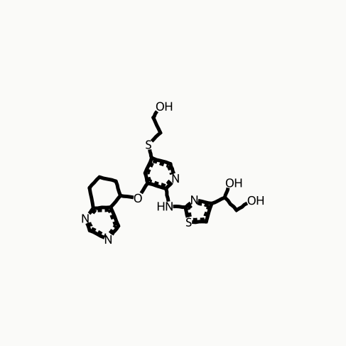 OCCSc1cnc(Nc2nc(C(O)CO)cs2)c(OC2CCCc3ncncc32)c1